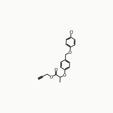 C#CCOC(=O)C(C)Oc1ccc(COc2ccc(Cl)cc2)cc1